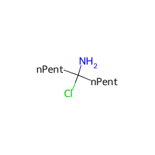 CCCCCC(N)(Cl)CCCCC